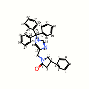 O=C1CC(c2ccccc2)CN1Cc1cn(C(c2ccccc2)(c2ccccc2)c2ccccc2)cn1